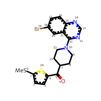 CSc1ccc(C(=O)C2CCN(c3ncnc4ccc(Br)cc34)CC2)s1